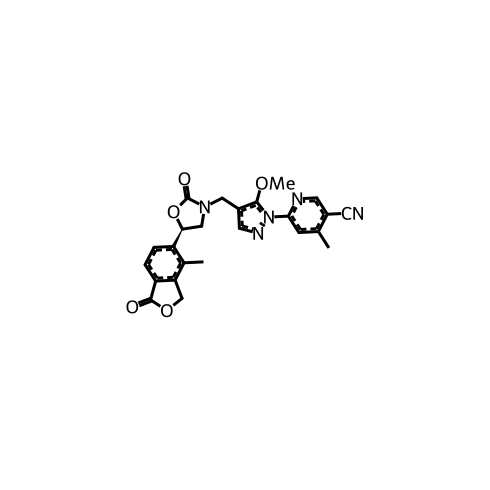 COc1c(CN2C[C@@H](c3ccc4c(c3C)COC4=O)OC2=O)cnn1-c1cc(C)c(C#N)cn1